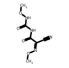 CON=C(C#N)C(=O)NC(=O)NOC